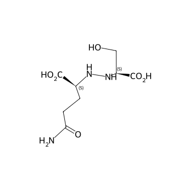 NC(=O)CC[C@H](NN[C@@H](CO)C(=O)O)C(=O)O